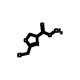 COC(=O)C1COC(CCl)=N1